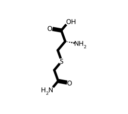 NC(=O)CSC[C@@H](N)C(=O)O